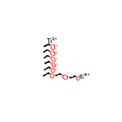 CC[O-].CC[O-].CC[O-].CC[O-].CC[O-].CC[O-].CC[O-].CC[O-].[Ti+4].[Ti+4]